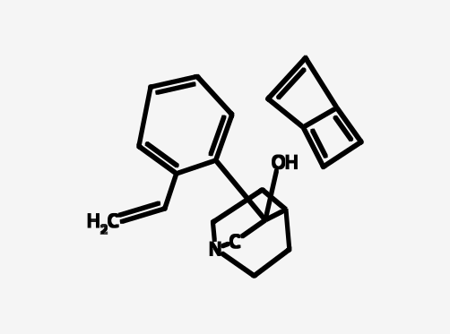 C=Cc1ccccc1C1(O)CN2CCC1CC2.c1cc2ccc1-2